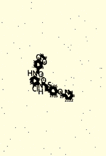 O=C(Nc1ccc(Cl)c(NC(=O)c2cc3ccc(OCc4ccccn4)cc3s2)c1)c1ccc2c(c1)OCCO2